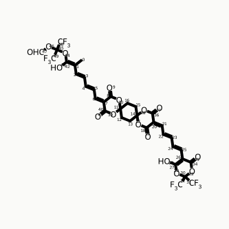 CC(/C=C/C=C/C=C1C(=O)OC2(CCC3(CC2)OC(=O)C(=C/C=C/C=C/C2=C(O)OC(C(F)(F)F)(C(F)(F)F)OC2=O)C(=O)O3)OC1=O)=C(/O)OC(OC=O)(C(F)(F)F)C(F)(F)F